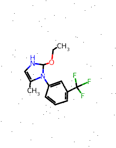 CCOC1NC=C(C)N1c1cccc(C(F)(F)F)c1